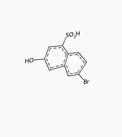 O=S(=O)(O)c1cc(O)cc2cc(Br)ccc12